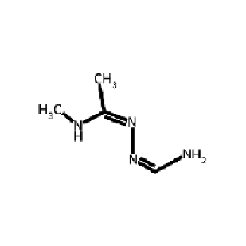 CN/C(C)=N\N=C/N